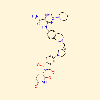 NC(=O)c1ncc(N2CCCCC2)nc1Nc1ccc2c(c1)CCN(C[C@H]1CCN(c3ccc4c(c3)C(=O)N(C3CCC(=O)NC3=O)C4=O)C1)C2